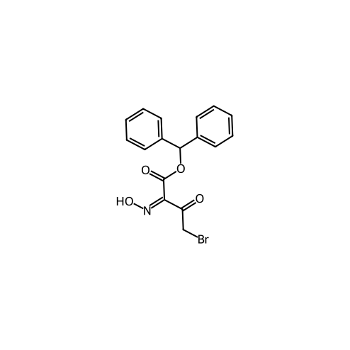 O=C(CBr)/C(=N/O)C(=O)OC(c1ccccc1)c1ccccc1